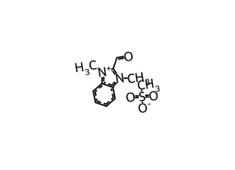 CS(=O)(=O)[O-].Cn1c(C=O)[n+](C)c2ccccc21